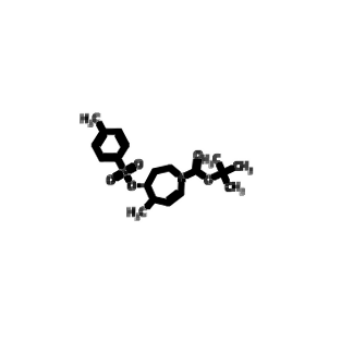 Cc1ccc(S(=O)(=O)O[C@@H]2CCN(C(=O)OC(C)(C)C)C=CC2C)cc1